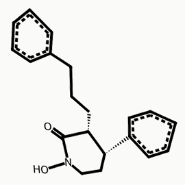 O=C1[C@H](CCCc2ccccc2)[C@H](c2ccccc2)CCN1O